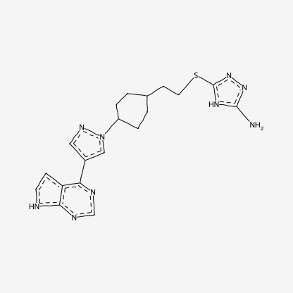 Nc1nnc(SCCC2CCC(n3cc(-c4ncnc5[nH]ccc45)cn3)CC2)[nH]1